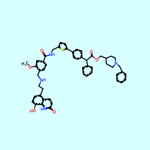 COc1cc(C(=O)NCc2ccc(-c3ccc(C(C(=O)OCC4CCN(Cc5ccccc5)CC4)c4ccccc4)cc3)s2)ccc1CNCCc1ccc(O)c2[nH]c(=O)ccc12